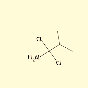 CC(C)[C]([AlH2])(Cl)Cl